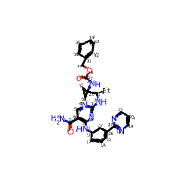 CC[C@@H](Nc1ncc(C(N)=O)c(Nc2cccc(-c3ncccn3)c2)n1)C1(NC(=O)OCc2ccccc2)CC1